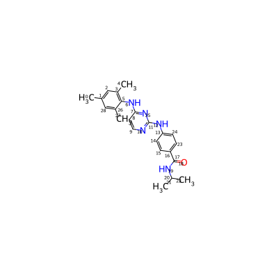 Cc1cc(C)c(Nc2ccnc(Nc3ccc(C(=O)NC(C)C)cc3)n2)c(C)c1